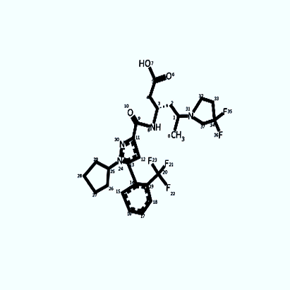 CC(C[C@@H](CC(=O)O)NC(=O)c1cc(-c2ccccc2C(F)(F)F)n(C2CCCC2)n1)N1CCC(F)(F)C1